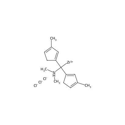 CC1=CCC([C]([Zr+3])(C2=CC(C)=CC2)[SiH](C)C)=C1.[Cl-].[Cl-].[Cl-]